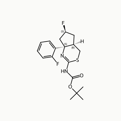 CC(C)(C)OC(=O)NC1=N[C@@]2(c3ccccc3F)C[C@@H](F)C[C@H]2CS1